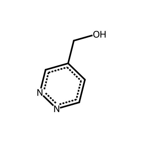 OCc1ccnnc1